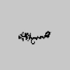 Cn1ccnc1-c1cnc(C(=O)CCCCCCc2ccccc2)o1